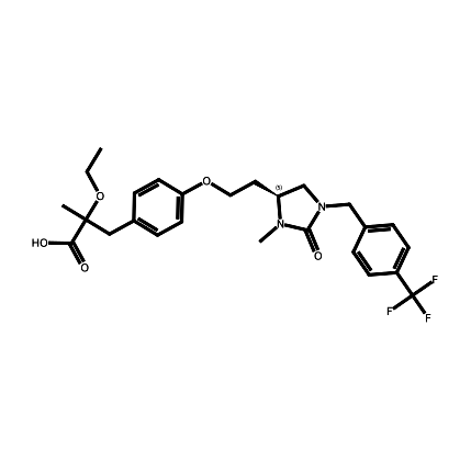 CCOC(C)(Cc1ccc(OCC[C@H]2CN(Cc3ccc(C(F)(F)F)cc3)C(=O)N2C)cc1)C(=O)O